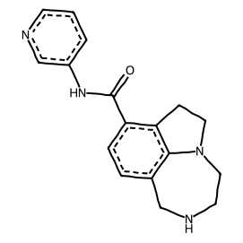 O=C(Nc1cccnc1)c1ccc2c3c1CCN3CCNC2